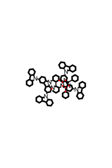 c1ccc(-c2nc(-c3ccccc3)nc(-c3cccc(-n4c5ccc(-n6c7ccccc7c7ccccc76)cc5c5cc(-n6c7ccccc7c7ccccc76)ccc54)c3-c3ncccc3-n3c4ccc(-n5c6ccccc6c6ccccc65)cc4c4cc(-n5c6ccccc6c6ccccc65)ccc43)n2)cc1